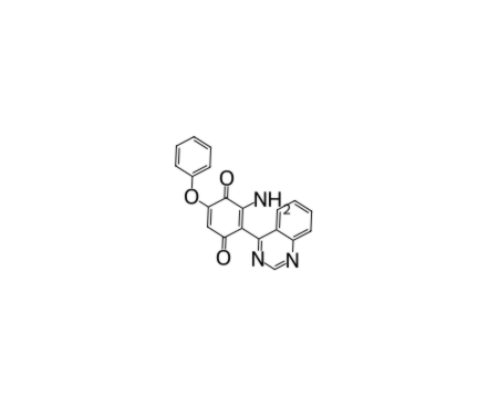 NC1=C(c2ncnc3ccccc23)C(=O)C=C(Oc2ccccc2)C1=O